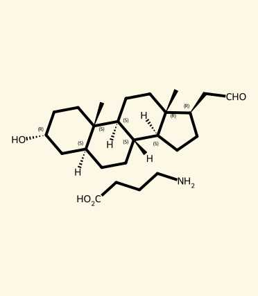 C[C@]12CC[C@@H](O)C[C@@H]1CC[C@@H]1[C@@H]2CC[C@]2(C)[C@@H](CC=O)CC[C@@H]12.NCCCC(=O)O